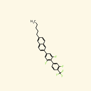 CCCCCc1ccc2cc(-c3cc(F)c(-c4ccc(C(F)(F)F)c(F)c4)c(F)c3)ccc2c1